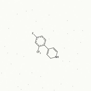 Fc1ccc(C2=CCNC=C2)c(C(F)(F)F)c1